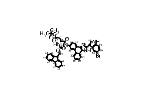 CC(C)(C)OC(=O)CC(NC(=O)OCC1c2ccccc2-c2ccccc21)C(=O)Nc1ccc2c(c1)c1ccccc1c1[nH]c(-c3c[nH]c4ccc(Br)cc34)nc21